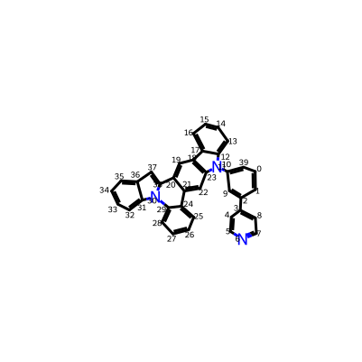 c1cc(-c2ccncc2)cc(-n2c3ccccc3c3cc4c(cc32)c2ccccc2n2c3ccccc3cc42)c1